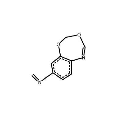 C=Nc1ccc2c(c1)OCOC=N2